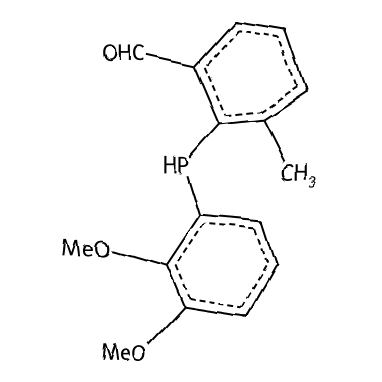 COc1cccc(Pc2c(C)cccc2C=O)c1OC